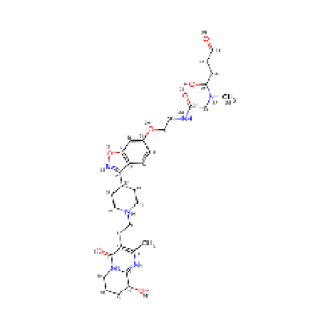 Cc1nc2n(c(=O)c1CCN1CCC(c3noc4cc(OCCNC(=O)CN(C)C(=O)CCC=O)ccc34)CC1)CCCC2O